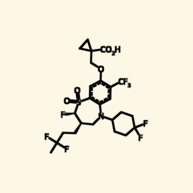 CC(F)(F)CC[C@@H]1CN(C2CCC(F)(F)CC2)c2cc(C(F)(F)F)c(OCC3(C(=O)O)CC3)cc2S(=O)(=O)[C@@H]1F